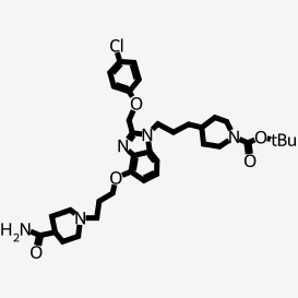 CC(C)(C)OC(=O)N1CCC(CCCn2c(COc3ccc(Cl)cc3)nc3c(OCCCN4CCC(C(N)=O)CC4)cccc32)CC1